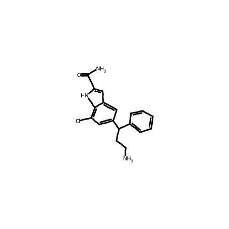 NCCC(c1ccccc1)c1cc(Cl)c2[nH]c(C(N)=O)cc2c1